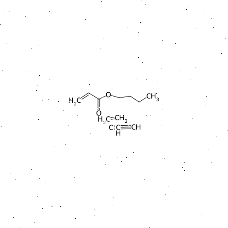 C#C.C=C.C=CC(=O)OCCCC.[C]